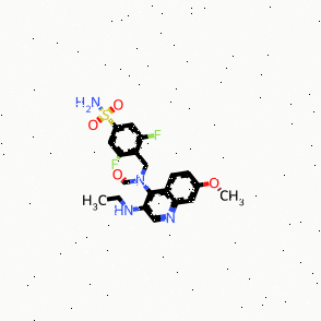 CCNc1cnc2cc(OC)ccc2c1N(C=O)Cc1c(F)cc(S(N)(=O)=O)cc1F